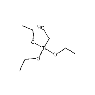 CC[O][Ti]([CH2]O)([O]CC)[O]CC